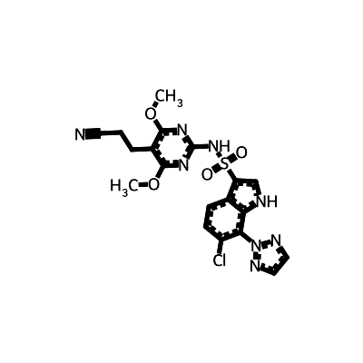 COc1nc(NS(=O)(=O)c2c[nH]c3c(-n4nccn4)c(Cl)ccc23)nc(OC)c1CCC#N